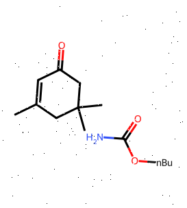 CC1=CC(=O)CC(C)(C)C1.CCCCOC(N)=O